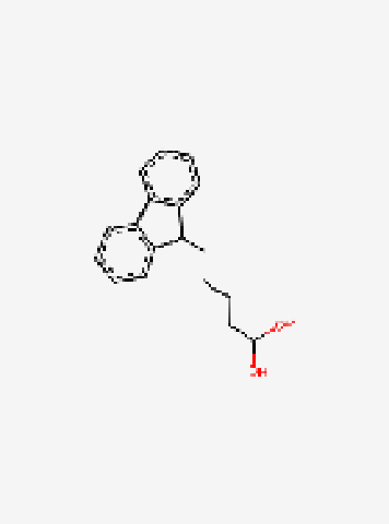 OC(O)CCCCC1c2ccccc2-c2ccccc21